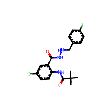 CC(C)(C)C(=O)Nc1ccc(Cl)cc1C(=O)NNCc1ccc(F)cc1